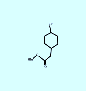 CC(C)C1CCC(CC(=O)OC(C)(C)C)CC1